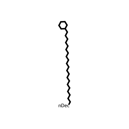 CCCCCCCCCCCCCCCCCCCCCCCCCCCCCCCC1CCCCC1